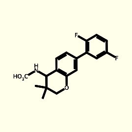 CC1(C)COc2cc(-c3cc(F)ccc3F)ccc2C1NC(=O)O